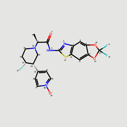 C[C@@H](C(=O)Nc1nc2cc3c(cc2s1)OC(F)(F)O3)N1CC[C@@H](F)[C@@H](c2cc[n+]([O-])cc2)C1